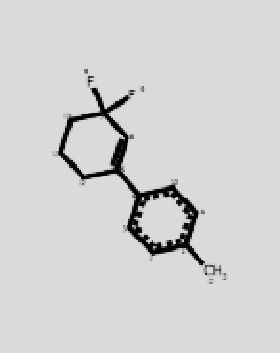 Cc1ccc(C2=CC(F)(F)CCC2)cc1